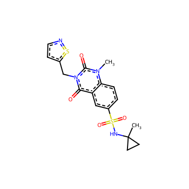 Cn1c(=O)n(Cc2ccns2)c(=O)c2cc(S(=O)(=O)NC3(C)CC3)ccc21